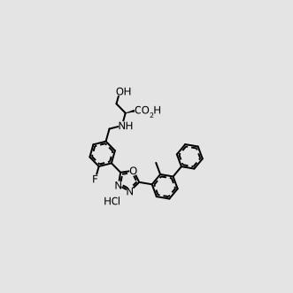 Cc1c(-c2ccccc2)cccc1-c1nnc(-c2cc(CN[C@@H](CO)C(=O)O)ccc2F)o1.Cl